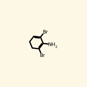 NC1=C(Br)CCC=C1Br